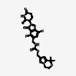 CC1(C)OCCn2nc(COC(=O)NCc3cc(Cl)c4c(c3F)C(=O)N(C3CCC(=O)NC3=O)C4)cc21